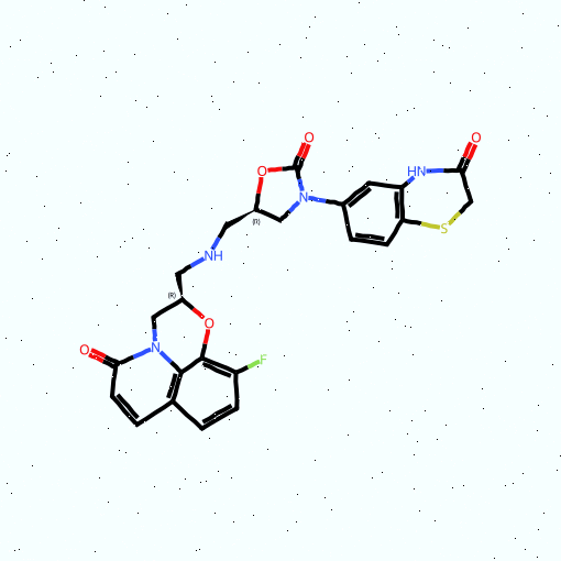 O=C1CSc2ccc(N3C[C@@H](CNC[C@@H]4Cn5c(=O)ccc6ccc(F)c(c65)O4)OC3=O)cc2N1